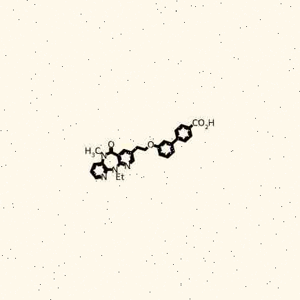 CCN1c2ncc(CCOc3cccc(-c4ccc(C(=O)O)cc4)c3)cc2C(=O)N(C)c2cccnc21